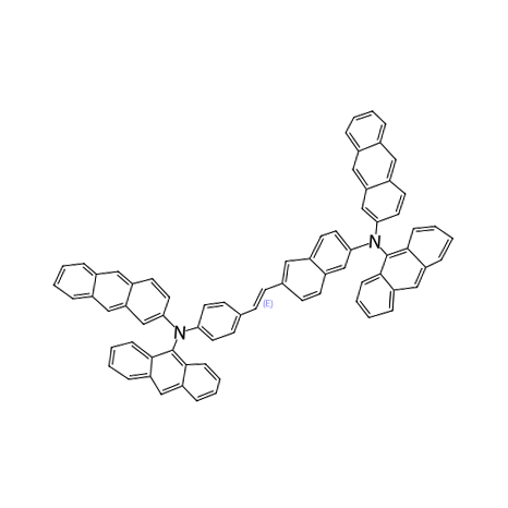 C(=C\c1ccc2cc(N(c3ccc4cc5ccccc5cc4c3)c3c4ccccc4cc4ccccc34)ccc2c1)/c1ccc(N(c2ccc3cc4ccccc4cc3c2)c2c3ccccc3cc3ccccc23)cc1